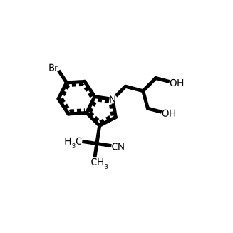 CC(C)(C#N)c1cn(CC(CO)CO)c2cc(Br)ccc12